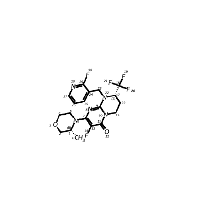 C[C@@H]1COCCN1c1nc2n(c(=O)c1F)CC[C@@H](C(F)(F)F)N2Cc1cccnc1F